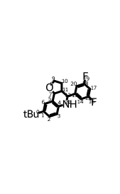 CC(C)(C)c1ccc2c(c1)C1OCCC1C(c1cc(F)cc(F)c1)N2